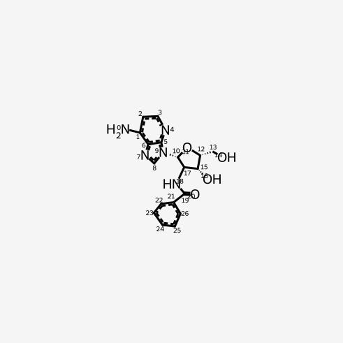 Nc1ccnc2c1ncn2[C@@H]1O[C@H](CO)[C@H](O)C1NC(=O)c1ccccc1